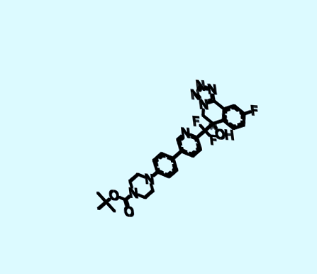 CC(C)(C)OC(=O)N1CCN(c2ccc(-c3ccc(C(F)(F)[C@]4(O)Cn5nnnc5-c5cc(F)ccc54)nc3)cc2)CC1